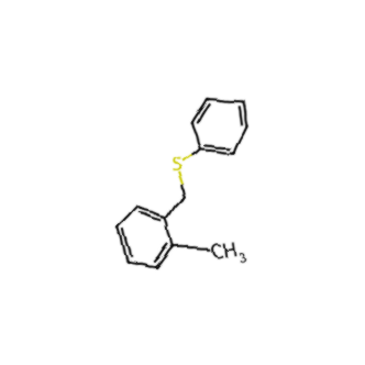 Cc1ccccc1CSc1ccccc1